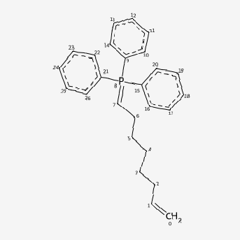 C=CCCCCCC=P(c1ccccc1)(c1ccccc1)c1ccccc1